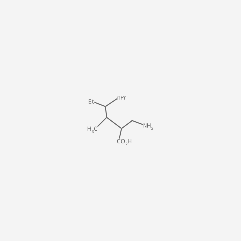 CCCC(CC)C(C)C(CN)C(=O)O